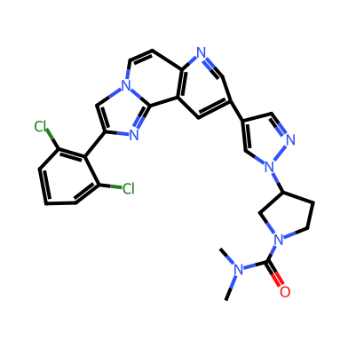 CN(C)C(=O)N1CCC(n2cc(-c3cnc4ccn5cc(-c6c(Cl)cccc6Cl)nc5c4c3)cn2)C1